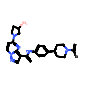 BC1CCN(c2ccn3ncc(C(=C)Nc4ccc(C5CCN(C(=C)CC)CC5)cc4)c3n2)C1